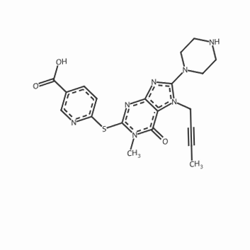 CC#CCn1c(N2CCNCC2)nc2nc(Sc3ccc(C(=O)O)cn3)n(C)c(=O)c21